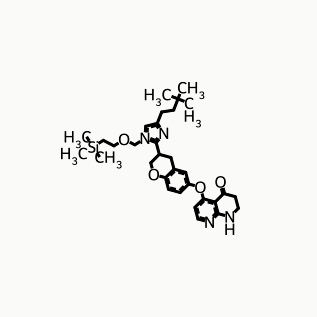 CC(C)(C)CCc1cn(COCC[Si](C)(C)C)c(C2COc3ccc(Oc4ccnc5c4C(=O)CCN5)cc3C2)n1